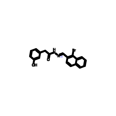 O=C(Cc1cccc(O)c1)N/N=C/c1ccc2ccccc2c1Br